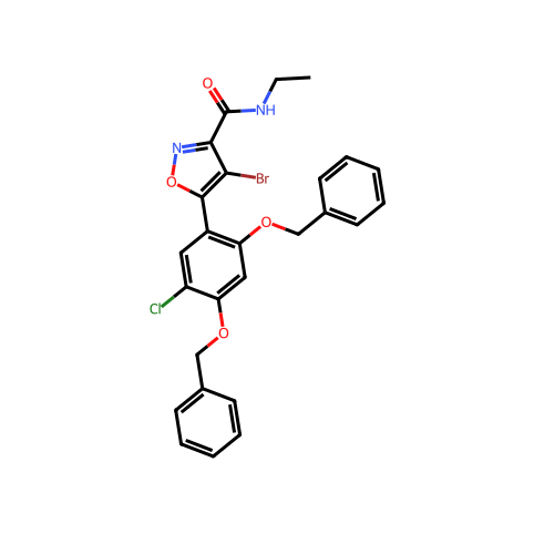 CCNC(=O)c1noc(-c2cc(Cl)c(OCc3ccccc3)cc2OCc2ccccc2)c1Br